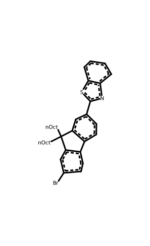 CCCCCCCCC1(CCCCCCCC)c2cc(Br)ccc2-c2ccc(-c3nc4ccccc4s3)cc21